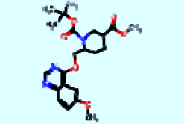 COC(=O)C1CCC(COc2ncnc3ccc(OC)cc23)N(C(=O)OC(C)(C)C)C1